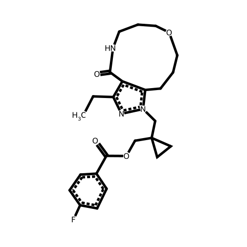 CCc1nn(CC2(COC(=O)c3ccc(F)cc3)CC2)c2c1C(=O)NCCCOCCC2